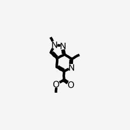 COC(=O)c1cc2cn(C)nc2c(C)n1